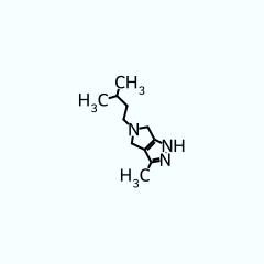 Cc1n[nH]c2c1CN(CCC(C)C)C2